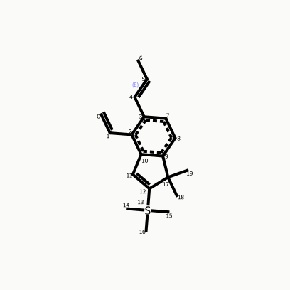 C=Cc1c(/C=C/C)ccc2c1C=C(S(C)(C)C)C2(C)C